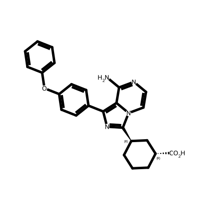 Nc1nccn2c([C@@H]3CCC[C@@H](C(=O)O)C3)nc(-c3ccc(Oc4ccccc4)cc3)c12